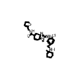 Cn1c(Nc2cc(CNC3(C)CCCCC3)ccc2Cl)nc2cc(C(=O)NCC3CCCO3)ccc21